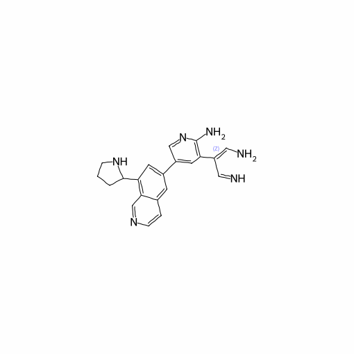 N=C/C(=C\N)c1cc(-c2cc(C3CCCN3)c3cnccc3c2)cnc1N